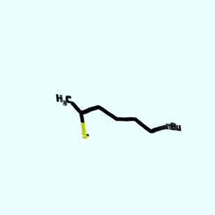 CCCCCCCCC(C)[S]